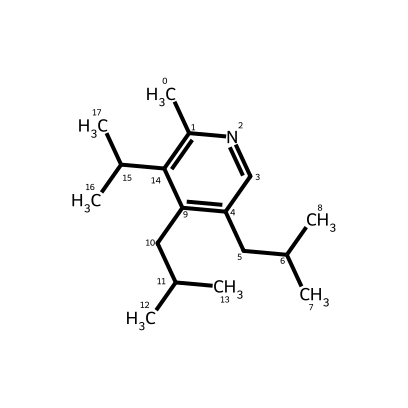 Cc1ncc(CC(C)C)c(CC(C)C)c1C(C)C